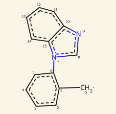 [CH2]c1ccccc1-n1cnc2ccccc21